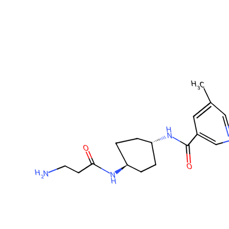 Cc1cncc(C(=O)N[C@H]2CC[C@H](NC(=O)CCN)CC2)c1